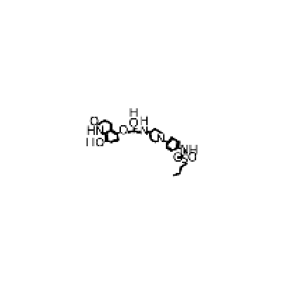 CCCCS(=O)(=O)Nc1ccc(N2CCC(NC[C@H](O)COc3ccc(O)c4c3CCC(=O)N4)CC2)cc1